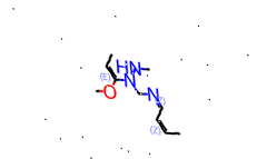 C/C=C\C=N/CN(NC)/C(=C\C)OC